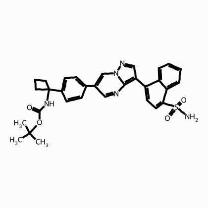 CC(C)(C)OC(=O)NC1(c2ccc(-c3cnc4c(-c5ccc(S(N)(=O)=O)c6ccccc56)cnn4c3)cc2)CCC1